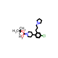 CC(C)(C)OC(=O)N1CCC(c2ccc(Cl)cc2CCCN2CCCC2)CC1